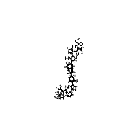 COC(=O)N[C@H](C(=O)N1CCC[C@H]1c1ncc(-c2ccc3oc(-c4ccc(-c5cnc([C@@H]6CCCN6C(=O)[C@@H](NC(=O)OC)C(C)C)[nH]5)c(F)c4)cc3c2)[nH]1)C(C)C